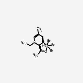 CCN1C=C(C)C=C2C1=C(C)O[TeH]2(Br)(Br)Br